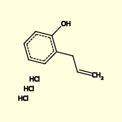 C=CCc1ccccc1O.Cl.Cl.Cl